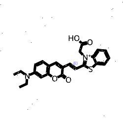 CCN(CC)c1ccc2cc(/C=C/c3sc4ccccc4[n+]3CC(=O)O)c(=O)oc2c1